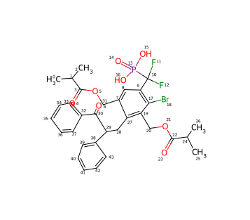 CC(C)C(=O)OCc1cc(C(F)(F)P(=O)(O)O)c(Br)c(COC(=O)C(C)C)c1CC(C(=O)c1ccccc1)c1ccccc1